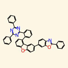 c1ccc(-c2nc(-c3ccccc3)nc(-c3ccccc3-c3cccc4oc5ccc(-c6ccc7nc(-c8ccccc8)oc7c6)cc5c34)n2)cc1